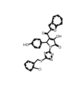 O=C(C1=C(O)C(=O)N(c2nnc(SCc3ccccc3Cl)s2)C1c1ccc(O)cc1)c1cc2ccccc2o1